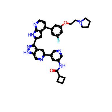 O=C(Nc1cncc(-c2cc3c(-c4cc5c(-c6cc(F)cc(OCCN7CCCC7)c6)ccnc5[nH]4)n[nH]c3cn2)c1)C1CCC1